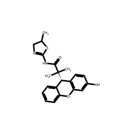 CC1CN=C(NC(=O)C(C)(C)[C@H]2c3ccccc3Oc3cc(O)ccc32)S1